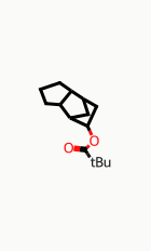 CC(C)(C)C(=O)OC1CC2CC1C1CCCC21